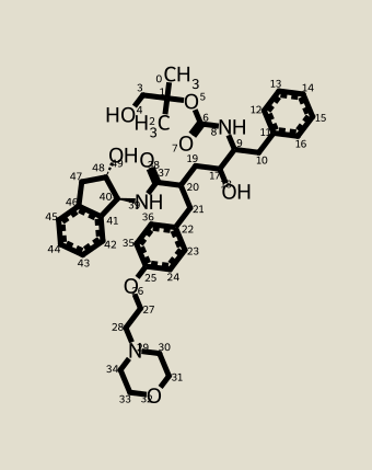 CC(C)(CO)OC(=O)NC(Cc1ccccc1)C(O)CC(Cc1ccc(OCCN2CCOCC2)cc1)C(=O)N[C@H]1c2ccccc2C[C@@H]1O